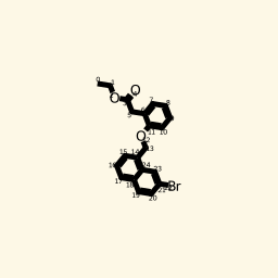 CCOC(=O)Cc1ccccc1OCc1cccc2ccc(Br)cc12